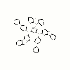 c1ccc(-c2ccc(N(c3cc(N(c4ccc(-c5ccccc5)cc4)c4ccc5oc6ccccc6c5c4)cc(N4c5ccccc5Oc5ccccc54)c3)c3ccc4oc5ccccc5c4c3)cc2)cc1